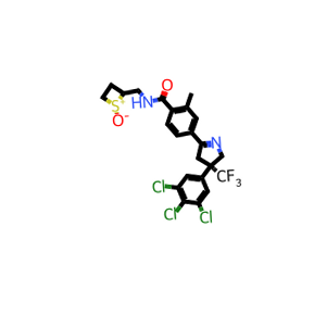 Cc1cc(C2=NCC(c3cc(Cl)c(Cl)c(Cl)c3)(C(F)(F)F)C2)ccc1C(=O)NCC1CC[S+]1[O-]